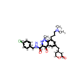 CN(C)CCCc1cc(CC2CCOC(=O)C2)cc2c(=O)c(C(=O)NCc3ccc(Cl)cc3)nn(C)c12